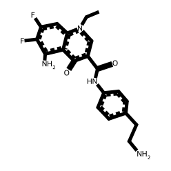 CCn1cc(C(=O)Nc2ccc(CCN)cc2)c(=O)c2c(N)c(F)c(F)cc21